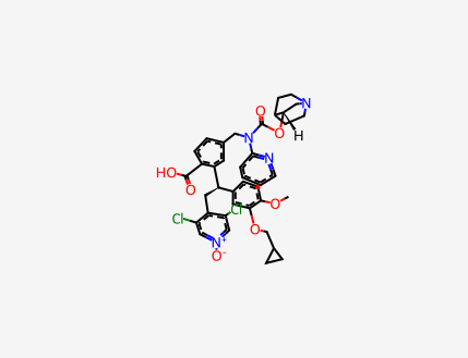 COc1ccc([C@@H](Cc2c(Cl)c[n+]([O-])cc2Cl)c2cc(CN(C(=O)O[C@H]3CN4CCC3CC4)c3ccccn3)ccc2C(=O)O)cc1OCC1CC1